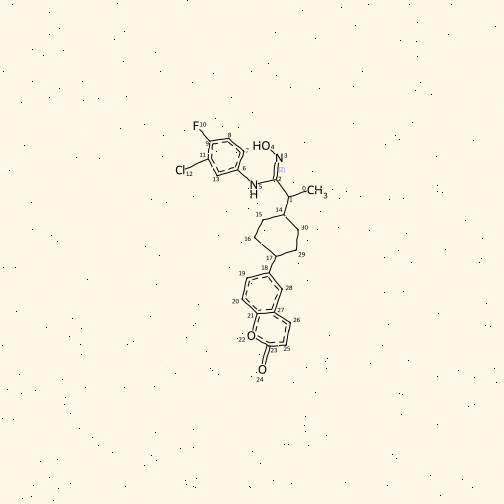 CC(/C(=N/O)Nc1ccc(F)c(Cl)c1)C1CCC(c2ccc3oc(=O)ccc3c2)CC1